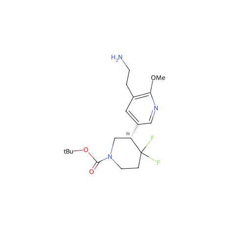 COc1ncc([C@H]2CN(C(=O)OC(C)(C)C)CCC2(F)F)cc1CCN